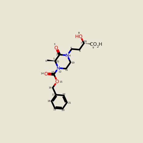 C[C@H]1C(=O)N(CC[C@H](O)C(=O)O)CCN1C(=O)OCc1ccccc1